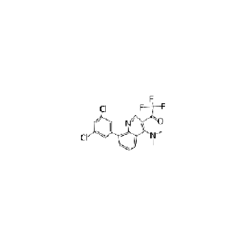 CN(C)c1c(C(=O)C(F)(F)F)cnc2c(-c3cc(Cl)cc(Cl)c3)cccc12